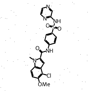 COc1ccc2c(cc(C(=O)Nc3ccc(S(=O)(=O)Nc4cnccn4)cc3)n2C)c1Cl